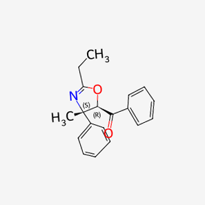 CCC1=N[C@@](C)(c2ccccc2)[C@H](C(=O)c2ccccc2)O1